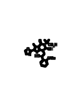 COc1ccccc1[C@@H](O)CN1c2sc(-c3ncco3)c(C)c2C(=O)N(C(C)(C)C(=O)O)C1O